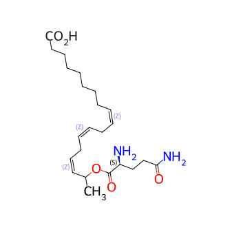 CC(/C=C\C/C=C\C/C=C\CCCCCCCC(=O)O)OC(=O)[C@@H](N)CCC(N)=O